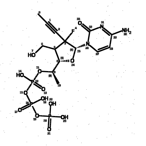 CC#CC1(F)C(CO)[C@@H]([C@@H](C)OP(=O)(O)OP(=O)(O)OP(=O)(O)O)O[C@H]1n1ccc(N)nc1=O